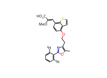 [2H]c1cccc([2H])c1-c1nc(CCOc2ccc(/C=C(\OC)C(=O)O)c3sccc23)c(C)o1